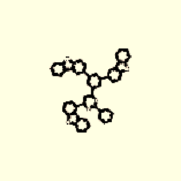 c1ccc(-c2nc(-c3cc(-c4ccc5oc6ccccc6c5c4)cc(-c4ccc5oc6ccccc6c5c4)c3)cc(-c3cccc4oc5ccccc5c34)n2)cc1